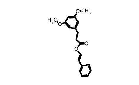 COc1cc(CCC(=O)OC=Cc2ccccc2)cc(OC)c1